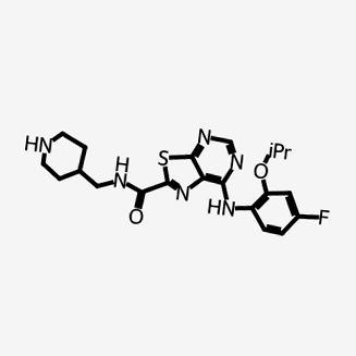 CC(C)Oc1cc(F)ccc1Nc1ncnc2sc(C(=O)NCC3CCNCC3)nc12